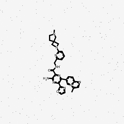 Cc1cnc2ccc(-c3nc(C(=O)NCc4cccc(N5CC6(CCN(C)C6)C5)n4)c(N)nc3-c3ncco3)cn12